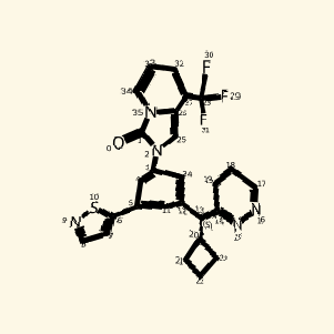 O=c1n(-c2cc(-c3ccns3)cc([C@@H](C3=NN=CCC3)C3CCC3)c2)cc2c(C(F)(F)F)cccn12